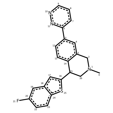 CN1Cc2cc(-c3cccnn3)ccc2C(c2cc3cc(F)ccc3s2)C1